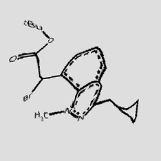 Cn1nc(C2CC2)c2cccc(C(Br)C(=O)OC(C)(C)C)c21